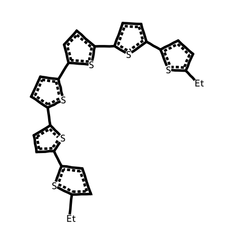 CCc1ccc(-c2ccc(-c3ccc(-c4ccc(-c5ccc(-c6ccc(CC)s6)s5)s4)s3)s2)s1